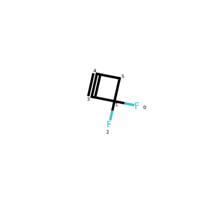 FC1(F)C#CC1